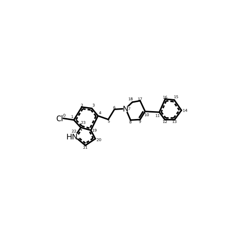 Clc1ccc(CCN2CC=C(c3ccccc3)CC2)c2cc[nH]c12